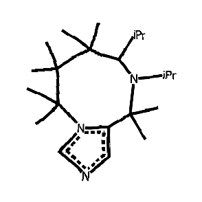 CC(C)C1N(C(C)C)C(C)(C)c2cncn2C(C)(C)C(C)(C)C1(C)C